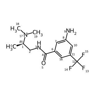 C[C@H](CNC(=O)c1cc(N)cc(C(F)(F)F)c1)N(C)C